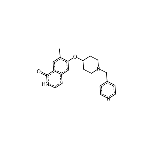 Cc1cc2c(=O)[nH]ccc2cc1OC1CCN(Cc2ccncc2)CC1